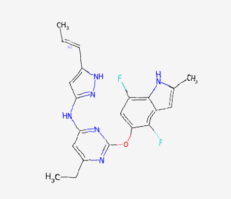 C/C=C/c1cc(Nc2cc(CC)nc(Oc3cc(F)c4[nH]c(C)cc4c3F)n2)n[nH]1